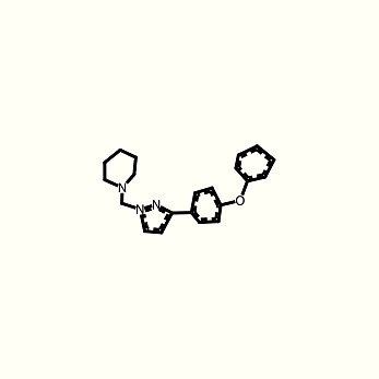 c1ccc(Oc2ccc(-c3ccn(CN4CCCCC4)n3)cc2)cc1